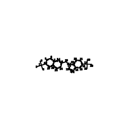 CC(C)(C)c1ccc2nc(Cn3cnc4cc(C(C)(C)C)ccc43)ccc2c1